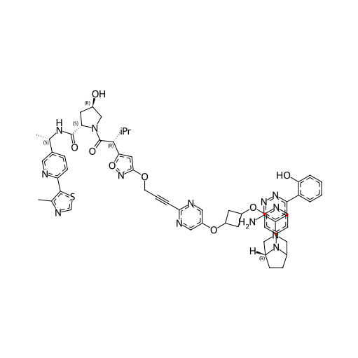 Cc1ncsc1-c1ccc([C@H](C)NC(=O)[C@@H]2C[C@@H](O)CN2C(=O)[C@@H](c2cc(OCC#Cc3ncc(OC4CC(Oc5cc(N6C7CC[C@@H]6CN(c6cc(-c8ccccc8O)nnc6N)C7)ccn5)C4)cn3)no2)C(C)C)cn1